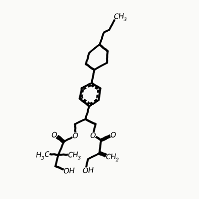 C=C(CO)C(=O)OCC(COC(=O)C(C)(C)CO)c1ccc(C2CCC(CCC)CC2)cc1